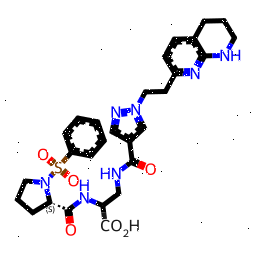 O=C(NCC(NC(=O)[C@@H]1CCCN1S(=O)(=O)c1ccccc1)C(=O)O)c1cnn(CCc2ccc3c(n2)NCCC3)c1